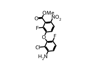 COC(=O)c1c([N+](=O)[O-])ccc(Oc2c(F)ccc(N)c2Cl)c1F